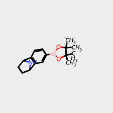 CC1(C)OB(c2ccc3c(c2)C2CCC3N2)OC1(C)C